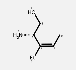 CC=C(CC)[C@H](N)CO